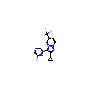 FC(F)(F)c1ccc2nc(C3CC3)c(-c3cncc(Cl)n3)n2c1